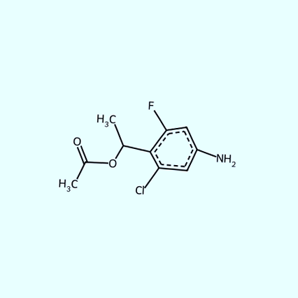 CC(=O)OC(C)c1c(F)cc(N)cc1Cl